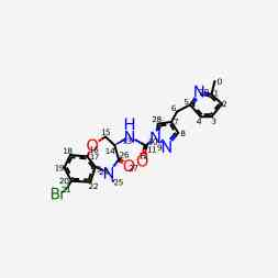 Cc1cccc(Cc2cnn(C(=O)N[C@@H]3COc4ccc(Br)cc4N(C)C3=O)c2)n1